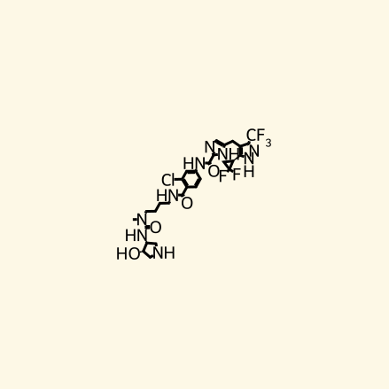 CN(CCCCNC(=O)c1ccc(NC(=O)c2ncc(Cc3c(C(F)(F)F)n[nH]c3[C@@H]3CC3(F)F)[nH]2)cc1Cl)C(=O)N[C@H]1CNC[C@@H]1O